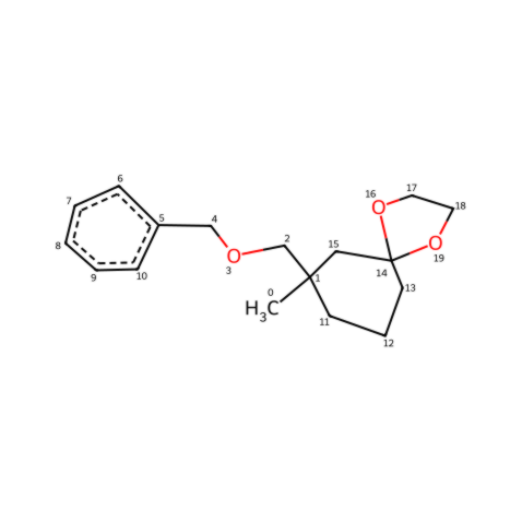 CC1(COCc2ccccc2)CCCC2(C1)OCCO2